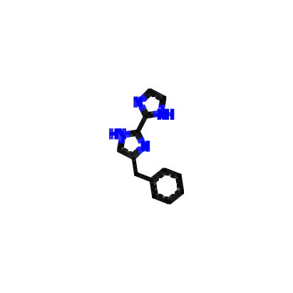 c1ccc(Cc2c[nH]c(-c3ncc[nH]3)n2)cc1